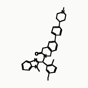 Cc1ccc(I)cc1C(c1nc2ccccc2n1C)N1Cc2ccc(-c3ccc(C4CCN(C)CC4)cc3)cc2CC1=O